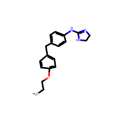 CCCOc1ccc(Cc2ccc(NC3=NCCN3)cc2)cc1